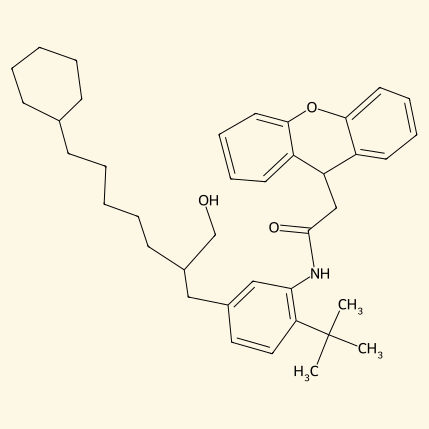 CC(C)(C)c1ccc(CC(CO)CCCCCC2CCCCC2)cc1NC(=O)CC1c2ccccc2Oc2ccccc21